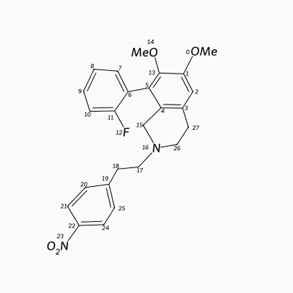 COc1cc2c(c(-c3ccccc3F)c1OC)CN(CCc1ccc([N+](=O)[O-])cc1)CC2